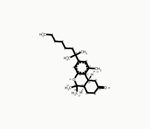 CCCCCCC(C)(C)c1cc(C)c2c(c1)OC(C)(C)[C@@H]1CCC(=O)C[C@@H]21